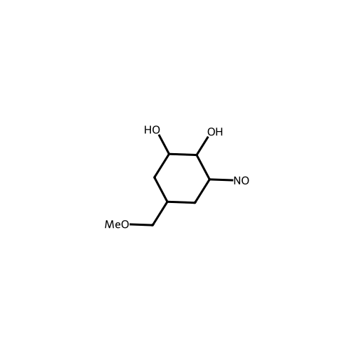 COCC1CC(O)C(O)C(N=O)C1